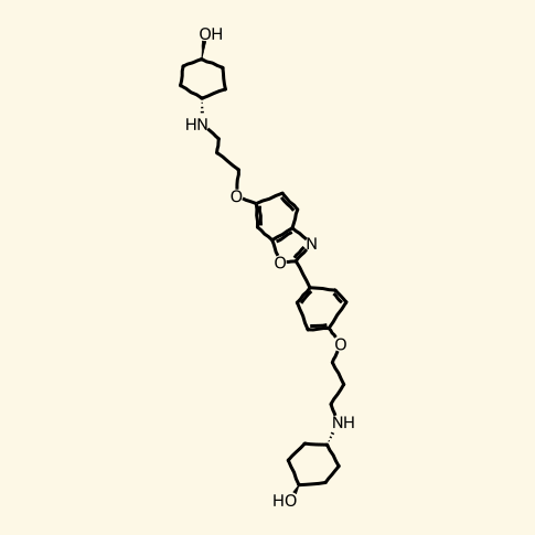 O[C@H]1CC[C@H](NCCCOc2ccc(-c3nc4ccc(OCCCN[C@H]5CC[C@H](O)CC5)cc4o3)cc2)CC1